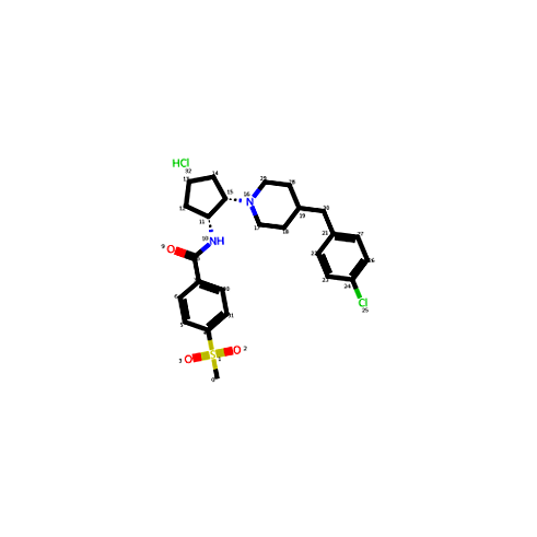 CS(=O)(=O)c1ccc(C(=O)N[C@@H]2CCC[C@@H]2N2CCC(Cc3ccc(Cl)cc3)CC2)cc1.Cl